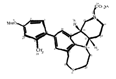 COc1ccc(-c2cc3c4c(c2)[C@@H]2CN(C(=O)O)CC[C@@H]2N4CCSC3)c(C)c1